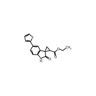 CCOC(=O)C1CC12C(=O)Nc1ccc(-c3cccs3)cc12